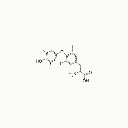 Cc1cc(Oc2c(I)cc(CC(N)C(=O)O)cc2I)cc(I)c1O